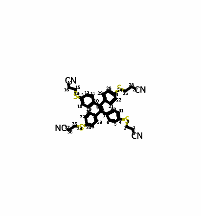 N#CCCSc1ccc(C(=C(c2ccc(SCCC#N)cc2)c2ccc(SCCC#N)cc2)c2ccc(SCCC#N)cc2)cc1